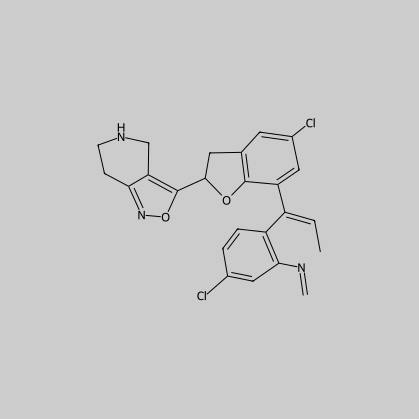 C=Nc1cc(Cl)ccc1/C(=C\C)c1cc(Cl)cc2c1OC(c1onc3c1CNCC3)C2